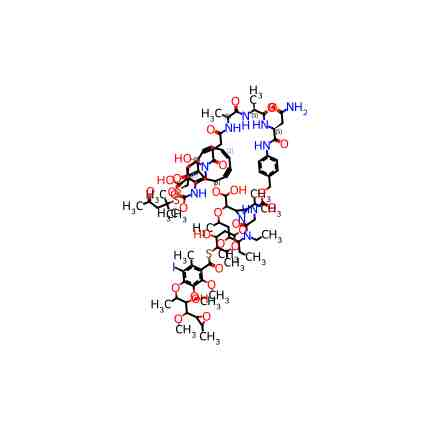 CCC(C(CC(C)OC(C(O)O[C@H]1C#C/C=C\C#C[C@]2(O)CC(=O)C(NC(=O)OC)=C1/C2=C\CSSC(C)(C)CC(C)=O)C1C(C(C)C)N1OC1CC(O)C(SC(=O)c2c(C)c(I)c(OC(C)C(O)C(OC)C3OC3C)c(OC)c2OC)C(C)O1)OC)N(CC)C(=O)CNC(=O)OCc1ccc(NC(=O)[C@H](CC(N)=O)NC(=O)[C@H](C)NC(=O)[C@H](C)NC(=O)CCC(=O)N2CCC(C(=O)O)CC2)cc1